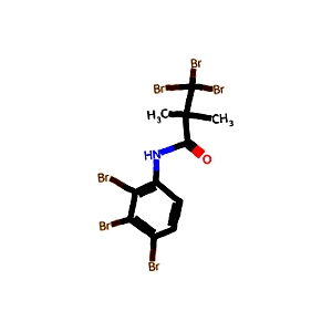 CC(C)(C(=O)Nc1ccc(Br)c(Br)c1Br)C(Br)(Br)Br